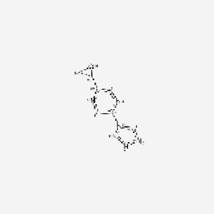 c1nc(-n2cnnn2)cnc1C1CO1